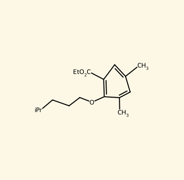 CCOC(=O)c1cc(C)cc(C)c1OCCCC(C)C